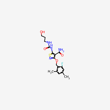 Cc1cc(C)c(COc2nsc(NC(=O)NCCCO)c2C(N)=O)c(F)c1